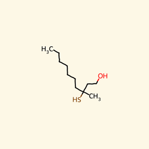 CCCCCCCC(C)(S)CCO